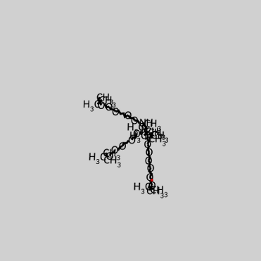 CCC(C)(C)OCCOCCOCCCCOCCOCCNC(C)(C)CN(CCOCCOCCCOCCOCCOC(C)(C)C)C(C)(C)N(CCOCCOCCOCCOCCOCCOC(C)(C)C)C(C)(C)C